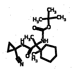 CC(C)(C)OC(=O)NC(C)(C(=O)NC1(C#N)CC1)C1(C)CCCCC1